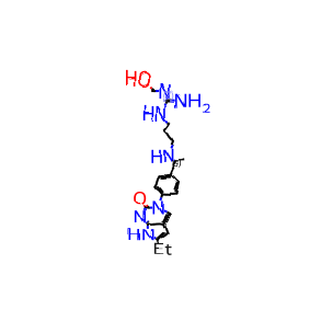 CCc1cc2cn(-c3ccc([C@H](C)NCCCN/C(N)=N\CO)cc3)c(=O)nc2[nH]1